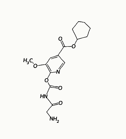 COc1cc(C(=O)OC2CCCCC2)cnc1OC(=O)NC(=O)CN